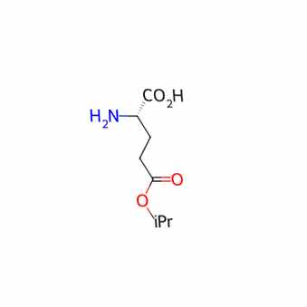 CC(C)OC(=O)CC[C@H](N)C(=O)O